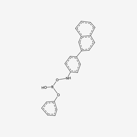 OB(ONc1ccc(-c2ccc3ccccc3c2)cc1)Oc1ccccc1